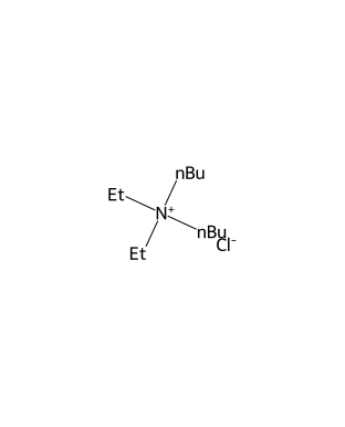 CCCC[N+](CC)(CC)CCCC.[Cl-]